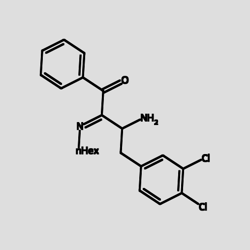 CCCCCCN=C(C(=O)c1ccccc1)C(N)Cc1ccc(Cl)c(Cl)c1